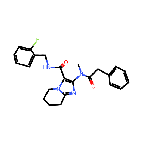 CN(C(=O)Cc1ccccc1)c1nc2n(c1C(=O)NCc1ccccc1F)CCCC2